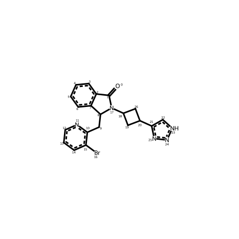 O=C1c2ccccc2C(Cc2ncccc2Br)N1C1CC(c2c[nH]nn2)C1